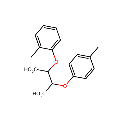 Cc1ccc(OC(C(=O)O)C(Oc2ccccc2C)C(=O)O)cc1